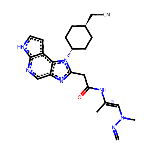 C=NN(C)/C=C(\C)NC(=O)Cc1nc2cnc3[nH]ccc3c2n1[C@H]1CC[C@H](CC#N)CC1